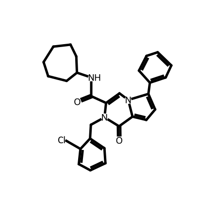 O=C(NC1CCCCCC1)c1cn2c(-c3ccccc3)ccc2c(=O)n1Cc1ccccc1Cl